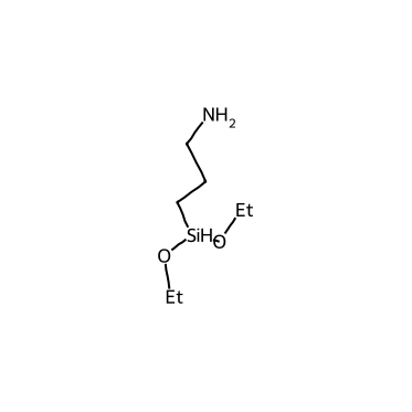 CCO[SiH](CCCN)OCC